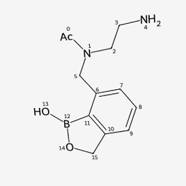 CC(=O)N(CCN)Cc1cccc2c1B(O)OC2